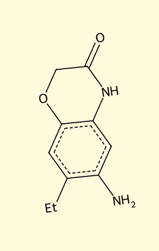 CCc1cc2c(cc1N)NC(=O)CO2